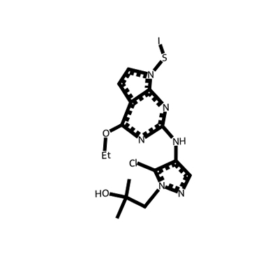 CCOc1nc(Nc2cnn(CC(C)(C)O)c2Cl)nc2c1ccn2SI